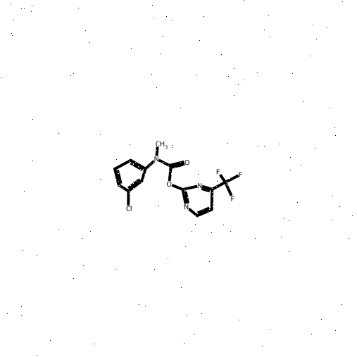 CN(C(=O)Oc1nccc(C(F)(F)F)n1)c1cccc(Cl)c1